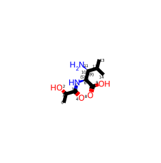 CC(O)C(=O)N[C@H](C(=O)O)[C@H](N)C(C)C